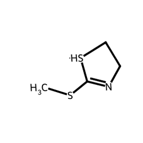 CSC1=NCC[SH]1